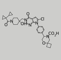 O=C(O)N1CC2(CCC2)OCC1c1ccc(-n2c(Cl)cc3c(=O)n(CC4(O)CCN(C(=O)C5(C6CC6)CC5)CC4)cnc32)cc1